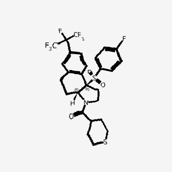 O=C(C1CCSCC1)N1CC[C@@]2(S(=O)(=O)c3ccc(F)cc3)c3ccc(C(F)(C(F)(F)F)C(F)(F)F)cc3CC[C@@H]12